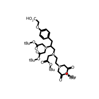 CC(C)(C)OC(=O)CN(CCN(CC(=O)OC(C)(C)C)CC(Cc1ccc(OCC(=O)O)cc1)N(CC(=O)OC(C)(C)C)CC(=O)OC(C)(C)C)CC(=O)OC(C)(C)C